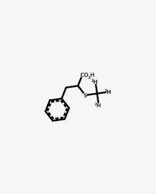 [2H]C([2H])([2H])SC(Cc1ccccc1)C(=O)O